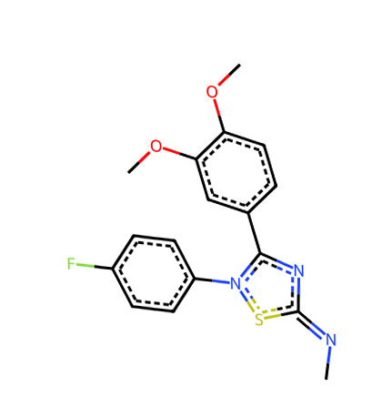 CN=c1nc(-c2ccc(OC)c(OC)c2)n(-c2ccc(F)cc2)s1